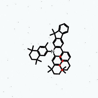 Cc1cc2c(cc1N(c1cc3c(cc1C)C(C)(C)CCC3(C)C)c1cc3c(cc1-c1ccc4c(c1)CCCC4)-c1ccccc1C3(C)C)C(C)(C)CCC2(C)C